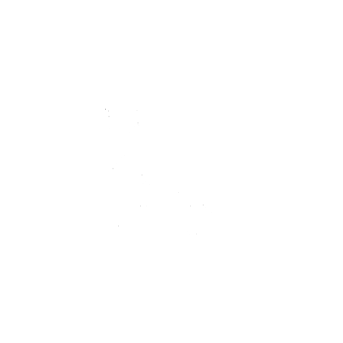 Cc1c(C(=O)c2ccc(Cl)cc2Cl)oc2cc(-c3cccnc3)ccc12